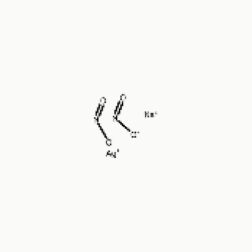 O=N[O-].O=N[O-].[Ag+].[Na+]